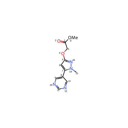 COC(=O)COc1cc(-c2cncnc2)n(C)n1